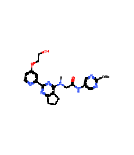 COc1ncc(NC(=O)CN(C)c2nc(-c3cc(OCCO)ccn3)nc3c2CCC3)cn1